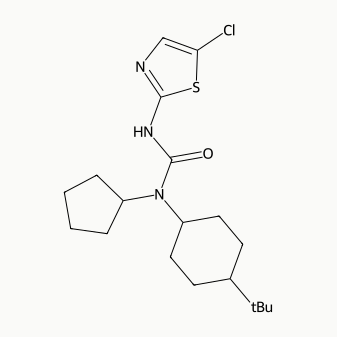 CC(C)(C)C1CCC(N(C(=O)Nc2ncc(Cl)s2)C2CCCC2)CC1